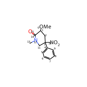 COC1CC(c2ccccc2)([N+](=O)[O-])CN(C)C1=O